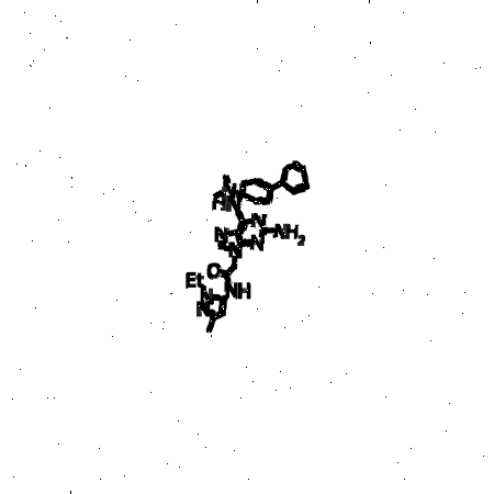 CCn1nc(C)cc1NC(=O)Cn1cnc2c(NC3(N(C)C)C=CC(c4ccccc4)=CC3)nc(N)nc21